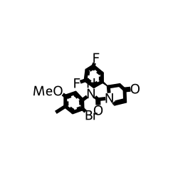 COc1cc(NC(=O)N2C=CC(=O)C[C@@H]2c2cc(F)cc(F)c2)c(Br)cc1C